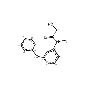 CN(C(=O)CO)c1cccc(Oc2ccccc2)c1